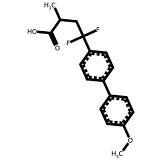 COc1ccc(-c2ccc(C(F)(F)CC(C)C(=O)O)cc2)cc1